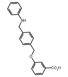 O=C(O)c1cccc(OCc2ccc(CNc3ccccc3)cc2)c1